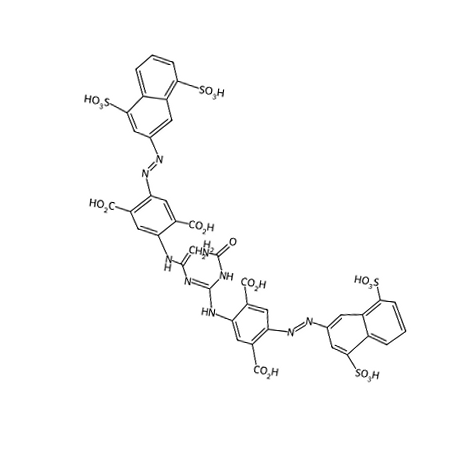 C=C(/N=C(\NC(N)=O)Nc1cc(C(=O)O)c(/N=N/c2cc(S(=O)(=O)O)c3cccc(S(=O)(=O)O)c3c2)cc1C(=O)O)Nc1cc(C(=O)O)c(/N=N/c2cc(S(=O)(=O)O)c3cccc(S(=O)(=O)O)c3c2)cc1C(=O)O